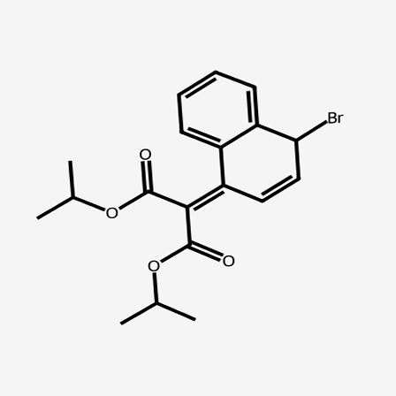 CC(C)OC(=O)C(C(=O)OC(C)C)=C1C=CC(Br)c2ccccc21